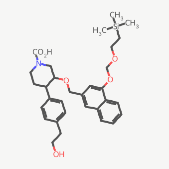 C[Si](C)(C)CCOCOc1cc(COC2CN(C(=O)O)CCC2c2ccc(CCO)cc2)cc2ccccc12